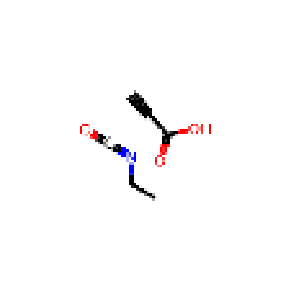 C#CC(=O)O.CCN=C=O